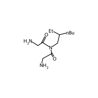 CCCCC(CC)CN(C(=O)CN)C(=O)CN